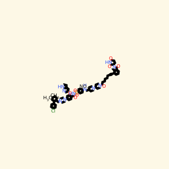 CC1(C)CCC(CN2CCN(c3ccc(C(=O)NS(=O)(=O)c4ccc(NCC5CCN(C6CCN(C(=O)CCCCCC#Cc7cccc8c7CN(C7CCC(=O)NC7=O)C8=O)CC6)CC5)c([N+](=O)[O-])c4)c(Oc4cnc5[nH]ccc5c4)c3)CC2)=C(c2ccc(Cl)cc2)C1